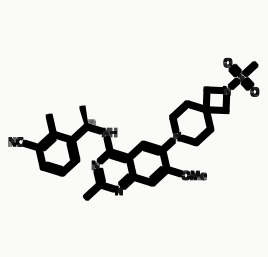 COc1cc2nc(C)nc(N[C@H](C)c3cccc(C#N)c3C)c2cc1N1CCC2(CC1)CN(S(C)(=O)=O)C2